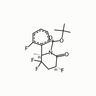 CC(C)(C)OC(=O)N1C(=O)[C@H](F)CC(F)(F)[C@@]1(C)c1ccccc1F